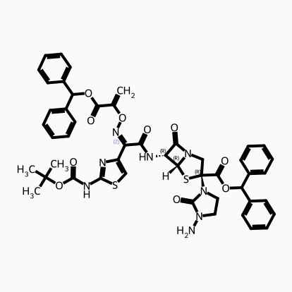 C=C(O/N=C(\C(=O)N[C@@H]1C(=O)N2C[C@@](C(=O)OC(c3ccccc3)c3ccccc3)(N3CCN(N)C3=O)S[C@H]12)c1csc(NC(=O)OC(C)(C)C)n1)C(=O)OC(c1ccccc1)c1ccccc1